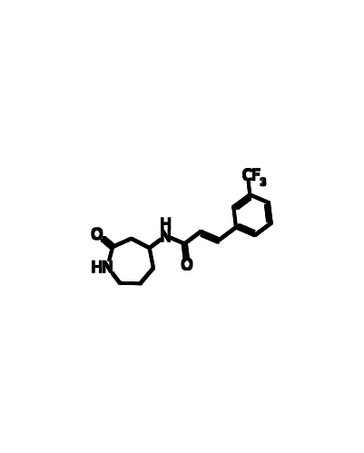 O=C(C=Cc1cccc(C(F)(F)F)c1)NC1CCCNC(=O)C1